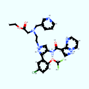 CCOC(=O)CN(CCn1cc(NC(=O)c2cnn3cccnc23)c(-c2cc(Cl)ccc2OC(F)F)n1)Cc1cccnc1